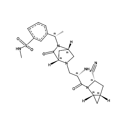 CNS(=O)(=O)c1cccc([C@H](C)N2C(=O)[C@@H]3C[C@H]2CN3C[C@H](N)C(=O)N2[C@H](C#N)C[C@@H]3C[C@@H]32)c1